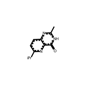 Cc1nc2ccc(C(C)C)nc2c(=O)[nH]1